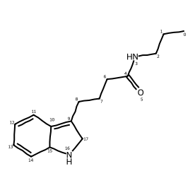 CCCNC(=O)CCCC1=C2C=CC=CC2NC1